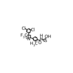 Cc1cc(C2=NOC(c3cc(Cl)cc(Cl)c3)(C(F)(F)F)C2)ccc1C(=O)N[C@@H]1CS[C@@H]1O